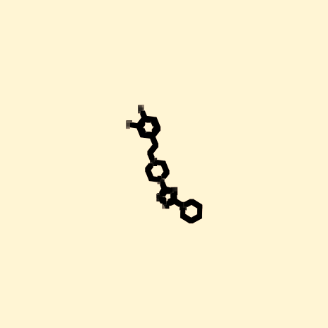 Fc1ccc(CCN2CCN(c3nc(N4CCCCC4)ns3)CC2)cc1F